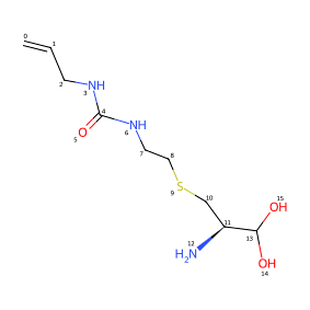 C=CCNC(=O)NCCSC[C@H](N)C(O)O